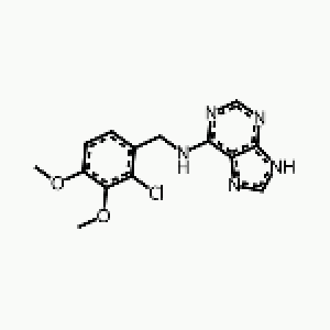 COc1ccc(CNc2ncnc3[nH]cnc23)c(Cl)c1OC